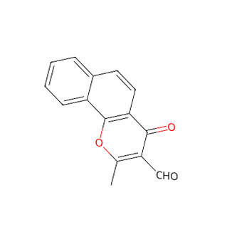 Cc1oc2c(ccc3ccccc32)c(=O)c1C=O